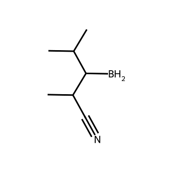 BC(C(C)C)C(C)C#N